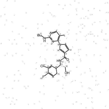 CCC(C)Nc1ncc(C)c(-n2ccc(C(=O)N[C@H](CO)C3C=C(Cl)C(F)=CC3)c2)n1